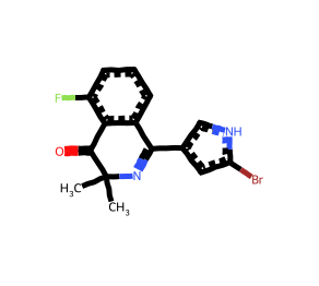 CC1(C)N=C(c2c[nH]c(Br)c2)c2cccc(F)c2C1=O